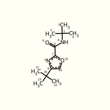 CC(C)(C)NC(=O)c1nc(C(C)(C)C)co1